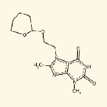 Cc1nc2c(c(=O)[nH]c(=O)n2C)n1CCOC1CCCCO1